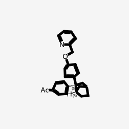 CC(=O)c1ccc([C@]2(c3ccc(OCc4ccccn4)cc3)CC3CC[C@@H]2C3)cc1